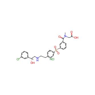 CN(CC(=O)O)C(=O)c1cccc(S(=O)(=O)c2ccc(CCNC[C@H](O)c3cccc(Cl)c3)cc2)c1.Cl